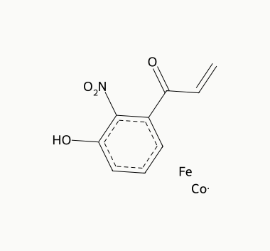 C=CC(=O)c1cccc(O)c1[N+](=O)[O-].[Co].[Fe]